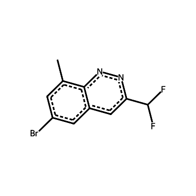 Cc1cc(Br)cc2cc(C(F)F)nnc12